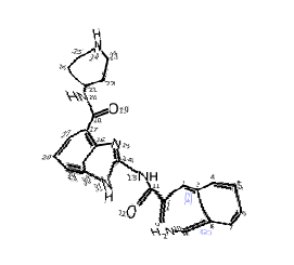 C=C(/C=c1/cccc/c1=C/N)C(=O)Nc1nc2c(C(=O)NC3CCNCC3)cccc2[nH]1